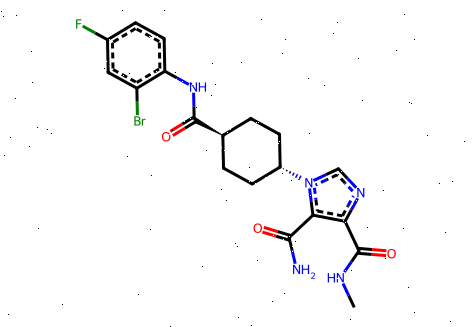 CNC(=O)c1ncn([C@H]2CC[C@H](C(=O)Nc3ccc(F)cc3Br)CC2)c1C(N)=O